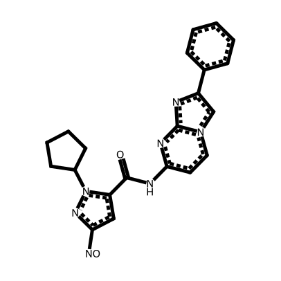 O=Nc1cc(C(=O)Nc2ccn3cc(-c4ccccc4)nc3n2)n(C2CCCC2)n1